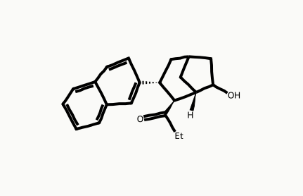 CCC(=O)[C@@H]1[C@@H]2CC(CC2O)C[C@H]1c1ccc2ccccc2c1